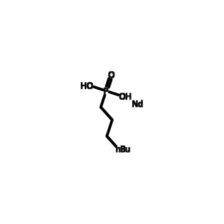 CCCCCCCP(=O)(O)O.[Nd]